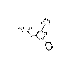 CNCC(=O)Nc1cc(-c2nccs2)nc(-c2cccs2)n1